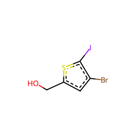 OCc1cc(Br)c(I)s1